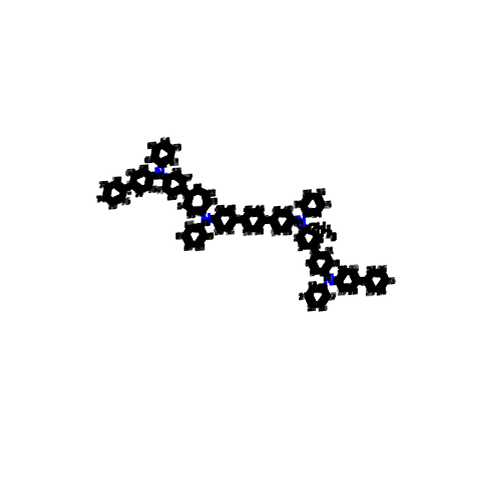 C=C(/C=C\C(=C/C)c1ccc(N(c2ccccc2)c2ccc(-c3ccccc3)cc2)cc1)N(c1ccccc1)c1ccc(-c2ccc(-c3ccc(N(C4=CC=C(c5ccc(N(c6ccccc6)c6ccc(-c7ccccc7)cc6)cc5)CC=C4)c4ccccc4)cc3)cc2)cc1